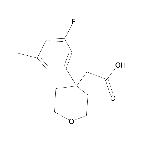 O=C(O)CC1(c2cc(F)cc(F)c2)CCOCC1